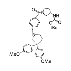 COc1ccc(C2(c3ccc(OC)cc3)CCCN(Cc3ccc(C(=O)N4CCC(NC(=O)OC(C)(C)C)C4)cc3)C2)cc1